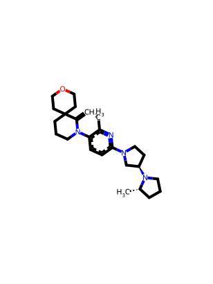 C=C1N(c2ccc(N3CC[C@@H](N4CCC[C@@H]4C)C3)nc2C)CCCC12CCOCC2